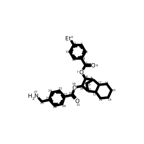 CCc1ccc(C(=O)OC2C3CC(C4CCCCC43)C2OC(=O)c2ccc(CN)cc2)cc1